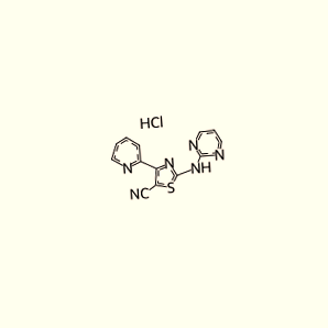 Cl.N#Cc1sc(Nc2ncccn2)nc1-c1ccccn1